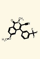 COc1ccc2c(=O)n(C)c(C#N)c(-c3cccc(C(F)(F)F)c3)c2c1